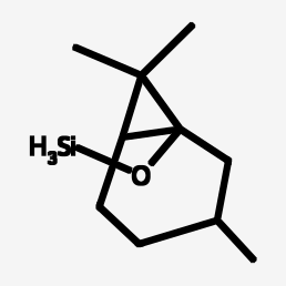 CC1CCC2C(C)(C)C2(O[SiH3])C1